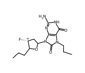 CCCC1OC(n2c(=O)n(CCC)c3c(=O)[nH]c(N)nc32)C[C@H]1F